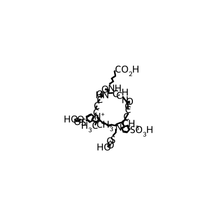 CC1(C)C2=[N+](CCCCCC(=O)NC(C(=O)NCCCCCC(=O)O)CCCCNC(=O)CCCCCC3(C)/C(=C/C=C/C=C/2)N(CCCSOOO)c2ccc(S(=O)(=O)O)cc23)c2ccc(SOOO)cc21